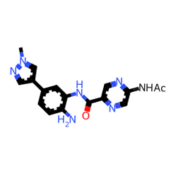 CC(=O)Nc1cnc(C(=O)Nc2cc(-c3cnn(C)c3)ccc2N)cn1